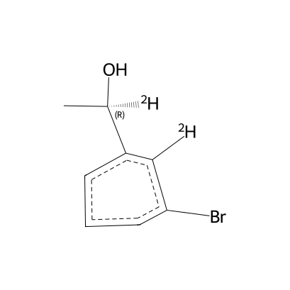 [2H]c1c(Br)cccc1[C@@]([2H])(C)O